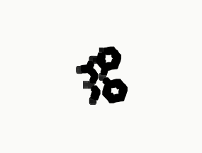 O=CNCC(=O)O.c1ccc(Oc2cccnc2)cc1